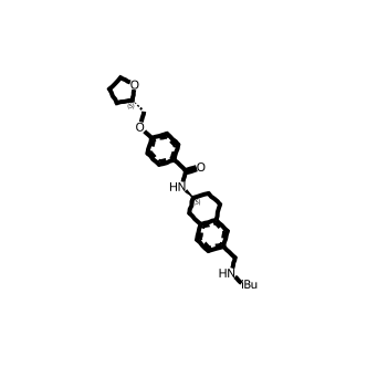 CCC(C)NCc1ccc2c(c1)CC[C@H](NC(=O)c1ccc(OC[C@@H]3CCCO3)cc1)C2